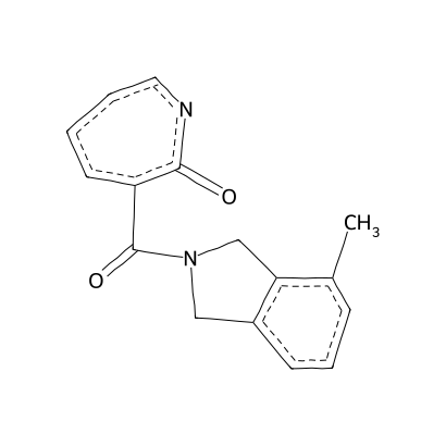 Cc1cccc2c1CN(C(=O)c1ccccnc1=O)C2